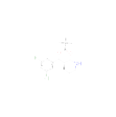 CC(C)(C)C(=O)O[C@@H](c1cc(F)cc(Cl)c1)[C@@H]1CCCNC1